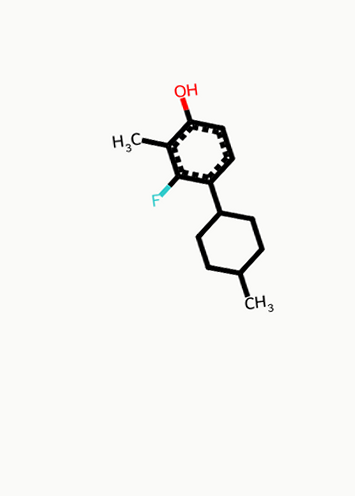 Cc1c(O)ccc(C2CCC(C)CC2)c1F